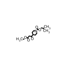 CCOC(=O)CC(=O)C1CCN(C(=O)OCC(C)C)CC1